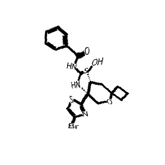 O=C(NC(=S)N[C@@]1(c2nc(Br)cs2)COC2(CCC2)C[C@H]1CO)c1ccccc1